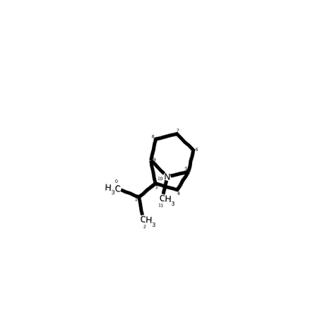 CC(C)C1CC2CCCC1N2C